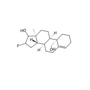 C[C@]12CC[C@@H]3[C@@H](CCC4=CCCC[C@@]43CO)[C@@H]1CC(F)C2O